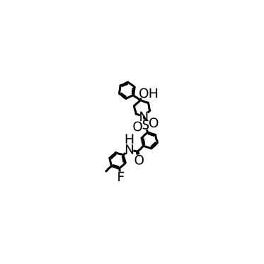 Cc1ccc(NC(=O)c2cccc(S(=O)(=O)N3CCC(O)(c4ccccc4)CC3)c2)cc1F